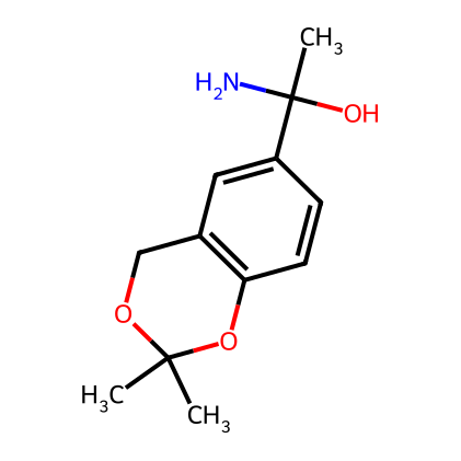 CC1(C)OCc2cc(C(C)(N)O)ccc2O1